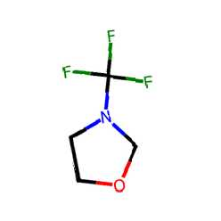 FC(F)(F)N1CCOC1